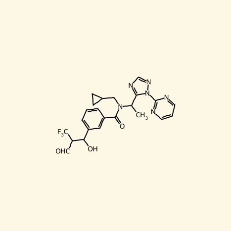 CC(c1ncnn1-c1ncccn1)N(CC1CC1)C(=O)c1cccc(C(O)C(C=O)C(F)(F)F)c1